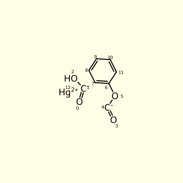 O=[C-]O.O=[C-]Oc1ccccc1.[Hg+2]